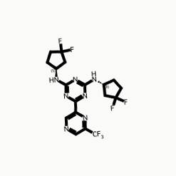 FC1(F)CC[C@@H](Nc2nc(N[C@H]3CCC(F)(F)C3)nc(-c3cncc(C(F)(F)F)n3)n2)C1